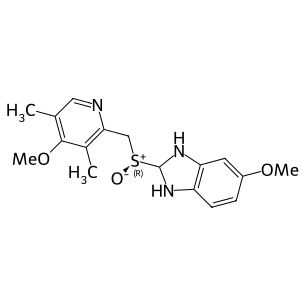 COc1ccc2c(c1)NC([S@@+]([O-])Cc1ncc(C)c(OC)c1C)N2